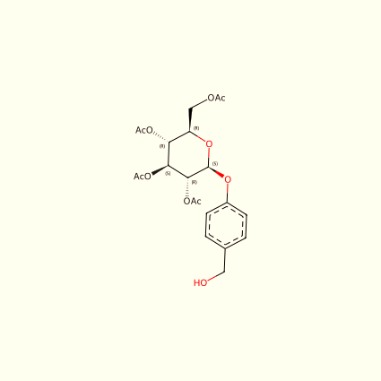 CC(=O)OC[C@H]1O[C@@H](Oc2ccc(CO)cc2)[C@H](OC(C)=O)[C@@H](OC(C)=O)[C@@H]1OC(C)=O